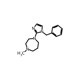 CN1CCCN(c2nccn2Cc2ccccc2)CC1